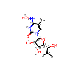 [2H]c1cn([C@@H]2O[C@H](C(O)=C(C)C)[C@@H](O)[C@H]2O)c(=O)nc1NO